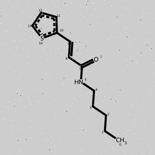 CCCCCNC(=O)C=Cc1cccs1